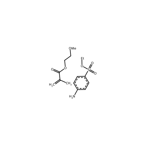 C=C(C)C(=O)OCCOC.CCOS(=O)(=O)c1ccc(N)cc1